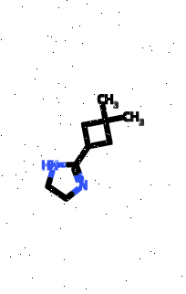 CC1(C)CC(C2=NCCN2)C1